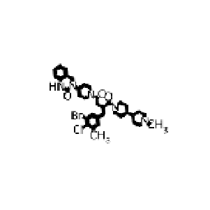 Cc1cc(CC(CC(=O)N2CCC(N3Cc4ccccc4NC3=O)CC2)C(=O)N2CCC(C3CCN(C)CC3)CC2)cc(Br)c1Cl